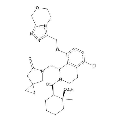 C[C@]1(C(=O)O)CCCC[C@H]1C(=O)N1CCc2c(Cl)ccc(OCc3nnc4n3CCOC4)c2[C@H]1CN1CC2(CC2)CC1=O